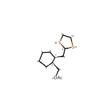 CC(=O)OC[C@H]1CCCC[C@H]1CC1SCCS1